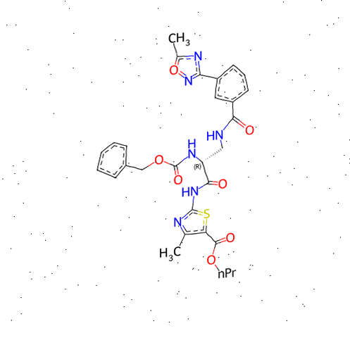 CCCOC(=O)c1sc(NC(=O)[C@@H](CNC(=O)c2cccc(-c3noc(C)n3)c2)NC(=O)OCc2ccccc2)nc1C